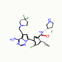 COc1cc(F)c(-c2cc(CN3CCC(F)(F)CC3)c3c(N)ncnn23)cc1C(=O)N[C@@H]1CNC[C@@H]1F